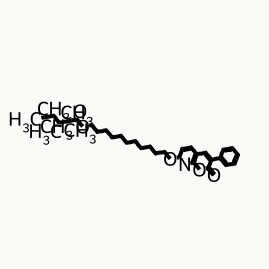 CC(CC(C)(C)C)C(C)(C)C(=O)OCCCCCCCCCCCOc1ccc2cc(-c3ccccc3)c(=O)oc2n1